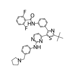 CC(C)(C)c1nc(-c2cccc(NC(=O)c3c(F)cccc3F)c2)c(-c2ccnc(Nc3cccc(CN4CCCC4)c3)n2)s1